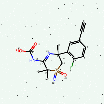 C#Cc1ccc(F)c([C@]2(C)CS(=N)(=O)C(C)(C)C(NC(=O)O)=N2)c1